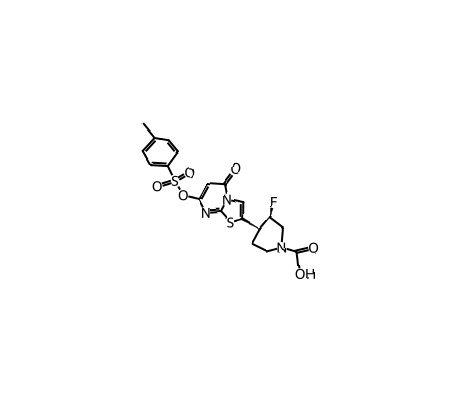 Cc1ccc(S(=O)(=O)Oc2cc(=O)n3cc([C@@H]4CCN(C(=O)O)C[C@@H]4F)sc3n2)cc1